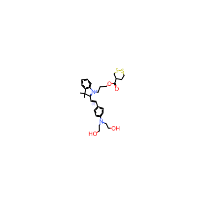 CC1(C)C(/C=C/c2ccc(N(CCO)CCO)cc2)=[N+](CCCOC(=O)C2CCSSC2)c2ccccc21